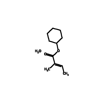 CC=C(C)C(=O)OC1CCCCC1.O